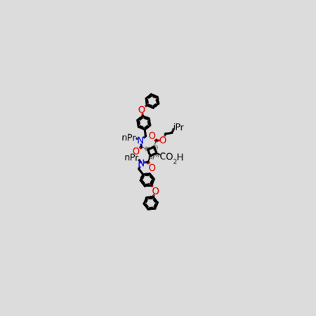 CCCN(Cc1ccc(Oc2ccccc2)cc1)C(=O)[C@@H]1[C@H](C(=O)O)[C@@H](C(=O)OCCC(C)C)[C@H]1C(=O)N(CCC)Cc1ccc(Oc2ccccc2)cc1